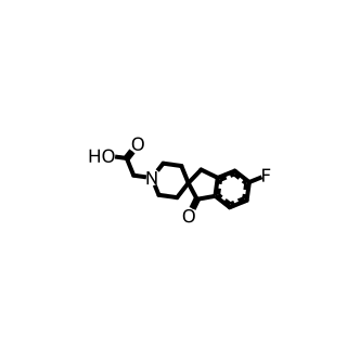 O=C(O)CN1CCC2(CC1)Cc1cc(F)ccc1C2=O